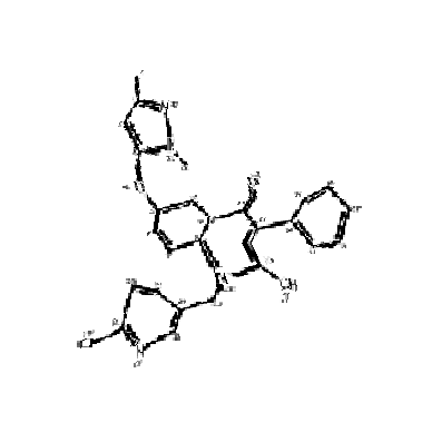 Cc1cc(Oc2ccc3n(c2)c(=O)c(-c2ccccc2)c(O)[n+]3Cc2ccc(Cl)nc2)n(C)n1